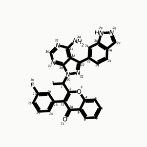 CC(c1oc2ccccc2c(=O)c1-c1cccc(F)c1)n1nc(-c2ccc3cn[nH]c3c2)c2c(N)ncnc21